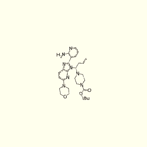 C=CCC(N1CCN(C(=O)OC(C)(C)C)CC1)n1c(-c2cccnc2N)nc2ccc(N3CCOCC3)nc21